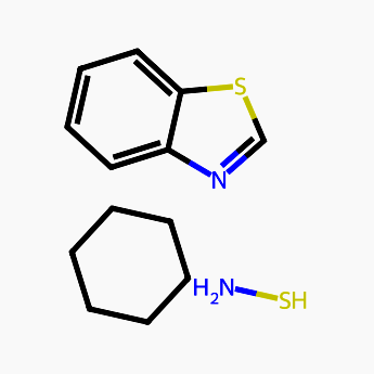 C1CCCCC1.NS.c1ccc2scnc2c1